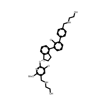 COc1nc(O[C@H]2CCc3c(-c4cccc(-c5ccc(CNCCO)cc5)c4Cl)cccc32)c(Cl)cc1CNCCO